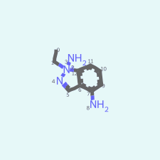 CC[N+]1(N)N=Cc2c(N)cccc21